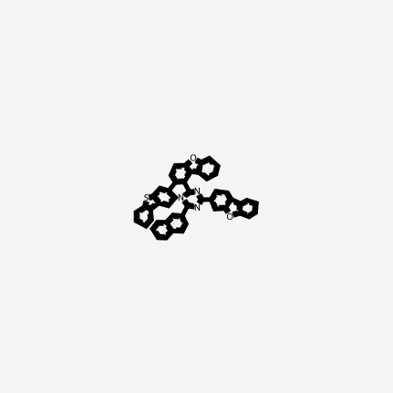 c1ccc2cc(-c3nc(-c4ccc5c(c4)oc4ccccc45)nc(-c4c(-c5ccc6c(c5)sc5ccccc56)ccc5oc6ccccc6c45)n3)ccc2c1